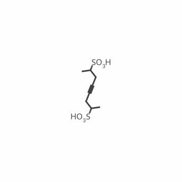 CC(CC#CCC(C)S(=O)(=O)O)S(=O)(=O)O